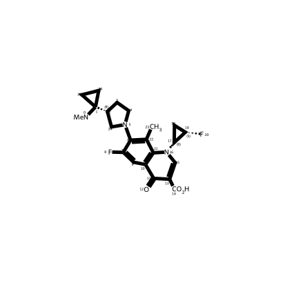 CNC1([C@@H]2CCN(c3c(F)cc4c(=O)c(C(=O)O)cn([C@@H]5C[C@@H]5F)c4c3C)C2)CC1